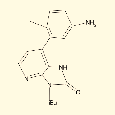 CCC(C)n1c(=O)[nH]c2c(-c3cc(N)ccc3C)ccnc21